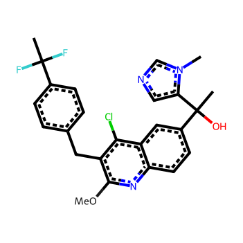 COc1nc2ccc(C(C)(O)c3cncn3C)cc2c(Cl)c1Cc1ccc(C(C)(F)F)cc1